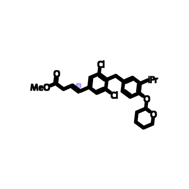 COC(=O)C/C=C/c1cc(Cl)c(Cc2ccc(OC3CCCCO3)c(C(C)C)c2)c(Cl)c1